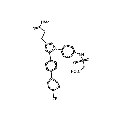 CNC(=O)CCc1cc(-c2ccc(-c3ccc(C(F)(F)F)cc3)cc2)n(-c2ccc(NS(=O)(=O)NC(=O)O)cc2)n1